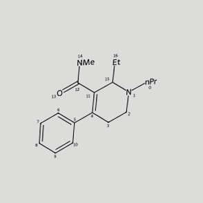 CCCN1CCC(c2ccccc2)=C(C(=O)NC)C1CC